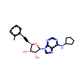 Cc1ccccc1C#C[C@H]1O[C@@H](n2cnc3c(NC4CCCC4)ncnc32)[C@H](O)[C@@H]1O